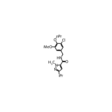 CCCOc1c(Cl)cc(CNC(=O)c2cc(C(C)C)nn2C)cc1OC